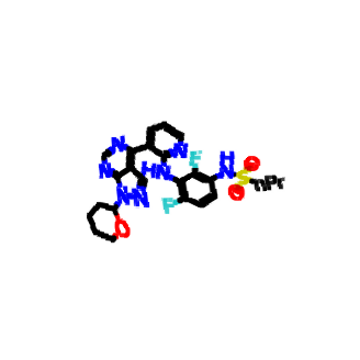 CCCS(=O)(=O)Nc1ccc(F)c(Nc2ncccc2-c2ncnc3c2cnn3C2CCCCO2)c1F